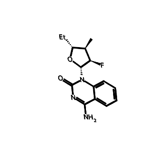 CC[C@H]1O[C@@H](n2c(=O)nc(N)c3ccccc32)[C@H](F)[C@@H]1C